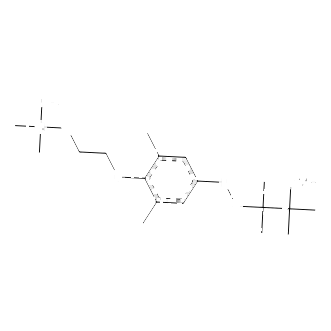 COC(C)(C)C(C)(C)OBc1cc(C)c(OCCO[Si](C)(C)C(C)(C)C)c(C)c1